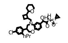 CCCc1cc(Cl)ccc1C1COc2ccc(C(O)C(=O)N[S+]([O-])C3CC3)cc2N(CC2CCC2C2CCCCO2)C1